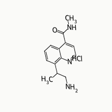 CNC(=O)c1ccnc2c(C(C)CN)cccc12.Cl